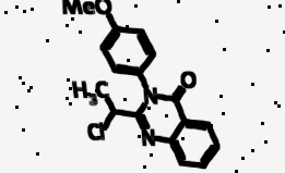 COc1ccc(-n2c(C(C)Cl)nc3ccccc3c2=O)cc1